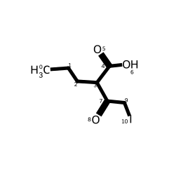 CCCC(C(=O)O)C(=O)CI